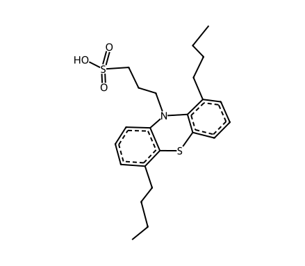 CCCCc1cccc2c1Sc1cccc(CCCC)c1N2CCCS(=O)(=O)O